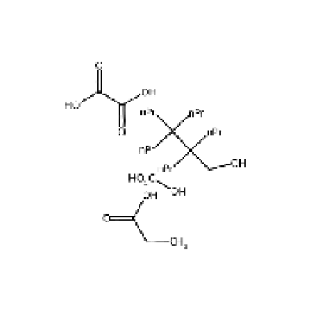 CCC(=O)O.CCCC(CO)(CCC)C(CCC)(CCC)CCC.O=C(O)C(=O)O.O=C(O)O